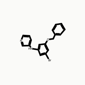 Brc1cc(Nc2cccnc2)cc(OCc2ccccc2)c1